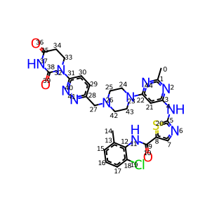 Cc1nc(Nc2ncc(C(=O)Nc3c(C)cccc3Cl)s2)cc(N2CCN(Cc3ccc(N4CCC(=O)NC4=O)nn3)CC2)n1